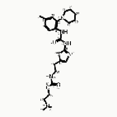 Cc1ccc(NC(=O)Nc2ncc(CCNC(=O)OCCN(C)C)s2)c(N2CCCCC2)c1